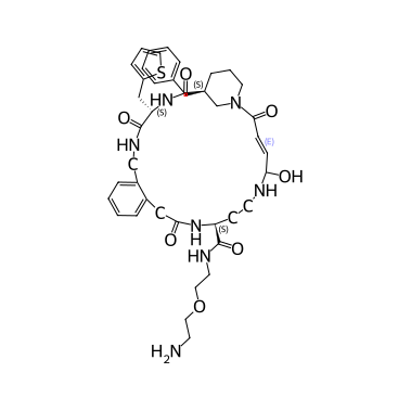 NCCOCCNC(=O)[C@@H]1CCNC(O)/C=C/C(=O)N2CCC[C@](Cc3ccccc3)(C2)C(=O)N[C@@H](Cc2cccs2)C(=O)NCc2ccccc2CC(=O)N1